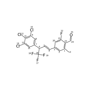 Cc1cc(/C=C/C(c2cc(Cl)c(Cl)c(Cl)c2)C(F)(F)F)cc(F)c1C=O